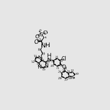 CS(=O)(=O)CC(=O)NCCn1ccc2ncnc(Nc3ccc(Oc4cccc5sccc45)c(Cl)c3)c21